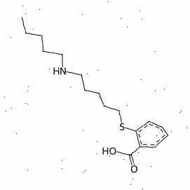 CCCCCNCCCCCSc1ccccc1C(=O)O